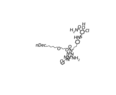 CCCCCCCCCCCCCCCCOCCCOC(=O)N(CCCc1ccc(NSc2cc(Cl)c(O)c(C(N)=O)c2)cc1)c1nc(N)n2nc(-c3ccco3)nc2n1